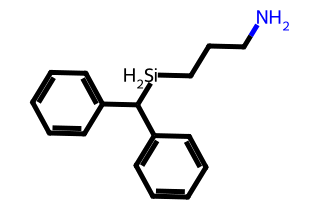 NCCC[SiH2]C(c1ccccc1)c1ccccc1